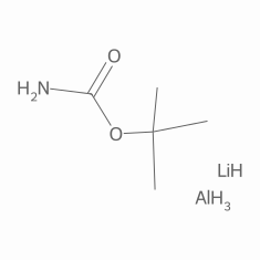 CC(C)(C)OC(N)=O.[AlH3].[LiH]